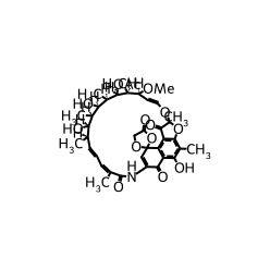 CO[C@H]1/C=C/O[C@@]2(C)Oc3c(C)c(O)c4c(c3C2=O)C2(C=C(NC(=O)/C(C)=C\C=C\[C@H](C)[C@H](O)[C@@H](C)[C@@H](O)[C@@H](C)[C@H](OC(C)=O)[C@H]1C)C4=O)OCC(=O)O2